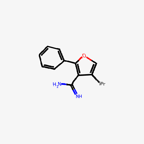 CC(C)c1coc(-c2ccccc2)c1C(=N)N